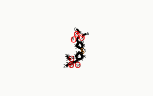 CCOC(OCC)C(=O)c1ccc(Sc2ccc(C(=O)C(OCC)OCC)cc2)cc1